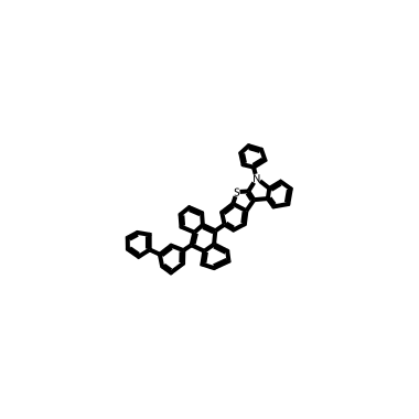 c1ccc(-c2cccc(-c3c4ccccc4c(-c4ccc5c(c4)sc4c5c5ccccc5n4-c4ccccc4)c4ccccc34)c2)cc1